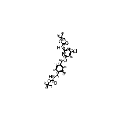 CC(C)(C)OC(=O)NCc1ccc(COc2cc(Cl)nc(NC(=O)OC(C)(C)C)n2)cc1F